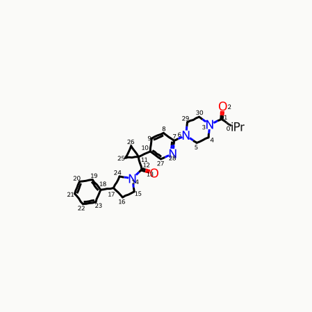 CC(C)C(=O)N1CCN(c2ccc(C3(C(=O)N4CCC(c5ccccc5)C4)CC3)cn2)CC1